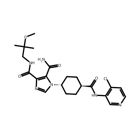 COC(C)(C)CNC(=O)c1ncn([C@H]2CC[C@H](C(=O)Nc3cnccc3Cl)CC2)c1C(N)=O